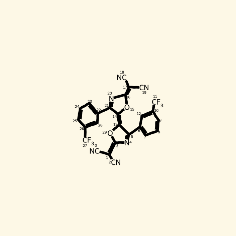 N#CC(C#N)=c1nc(-c2cccc(C(F)(F)F)c2)/c(=c2\oc(=C(C#N)C#N)nc2-c2cccc(C(F)(F)F)c2)o1